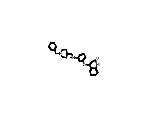 O=c1cc(Oc2cccc(NCC3CCN(Cc4ccccc4)CC3)c2)c2ccccc2[nH]1